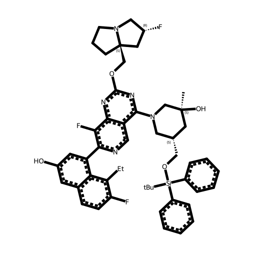 CCc1c(F)ccc2cc(O)cc(-c3ncc4c(N5C[C@@H](CO[Si](c6ccccc6)(c6ccccc6)C(C)(C)C)C[C@](C)(O)C5)nc(OC[C@@]56CCCN5C[C@H](F)C6)nc4c3F)c12